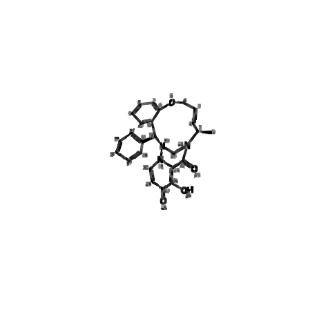 C[C@@H]1/C=C/COc2ccccc2[C@H](c2ccccc2)N2CN1C(=O)c1c(O)c(=O)ccn12